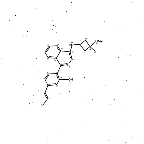 C/C=C/c1ccc(-c2nnc(NC3CC(C)(OC)C3)c3ccccc23)c(O)c1